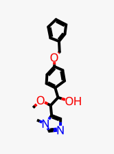 COC(c1cncn1C)C(O)c1ccc(OCc2ccccc2)cc1